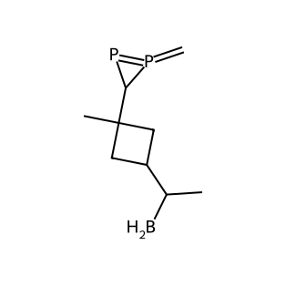 BC(C)C1CC(C)(C2P=P2=C)C1